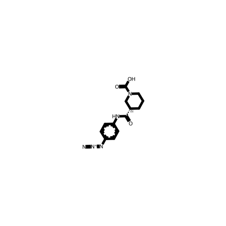 [N-]=[N+]=Nc1ccc(NC(=O)[C@H]2CCCN(C(=O)O)C2)cc1